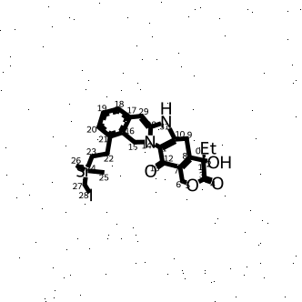 CC[C@@]1(O)C(=O)OCC2=C1CC1=C(C2=O)N2Cc3c(cccc3CC[Si](C)(C)CI)C=C2N1